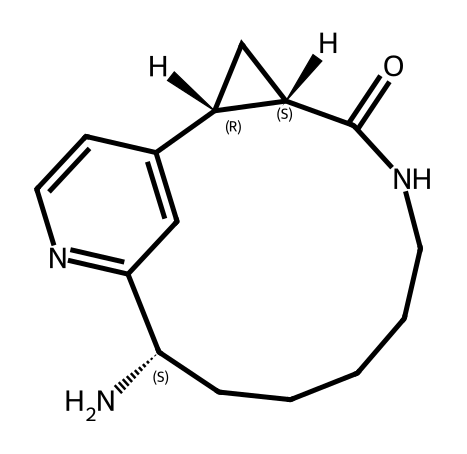 N[C@H]1CCCCCNC(=O)[C@H]2C[C@H]2c2ccnc1c2